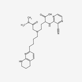 CN(C)C(=O)CN(CCCCc1ccc2c(n1)NCCC2)CCC(Nc1nccnc1C#N)C(=O)O